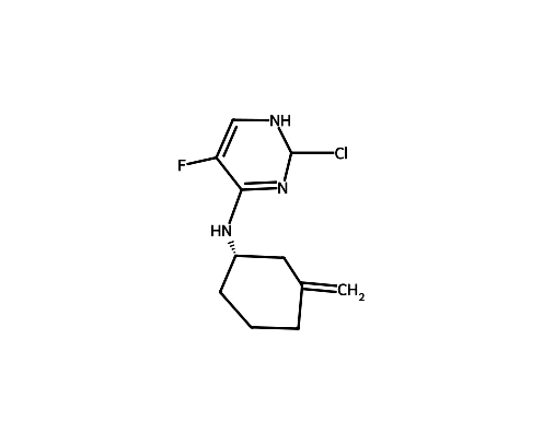 C=C1CCC[C@H](NC2=NC(Cl)NC=C2F)C1